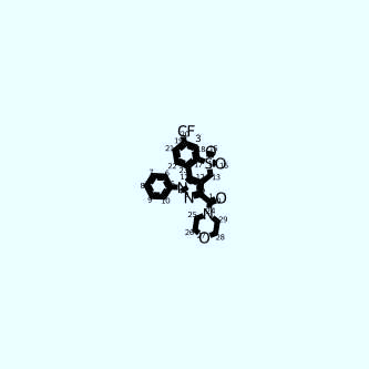 O=C(c1nn(-c2ccccc2)c2c1CS(=O)(=O)c1cc(C(F)(F)F)ccc1-2)N1CCOCC1